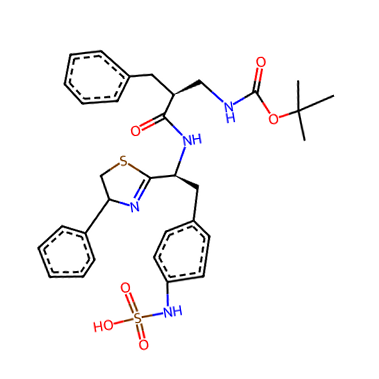 CC(C)(C)OC(=O)NC[C@H](Cc1ccccc1)C(=O)N[C@@H](Cc1ccc(NS(=O)(=O)O)cc1)C1=NC(c2ccccc2)CS1